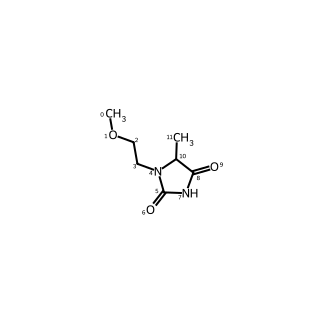 COCCN1C(=O)NC(=O)C1C